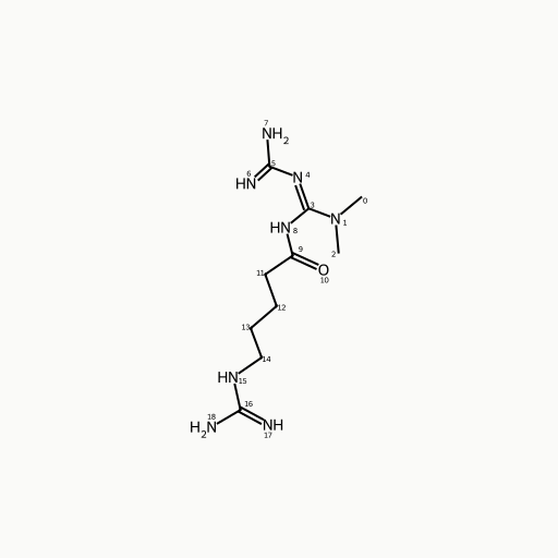 CN(C)C(=NC(=N)N)NC(=O)CCCCNC(=N)N